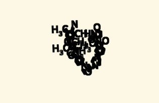 Cc1cc(OC2C(C)(C)C(NC(=O)c3ccc(N4CCO[C@@H](CN5CCN(c6ccc7c(c6)C(=O)N(C6CCC(=O)NC6=O)C7=O)CC5)C4)cc3)C2(C)C)cc(C)c1C#N